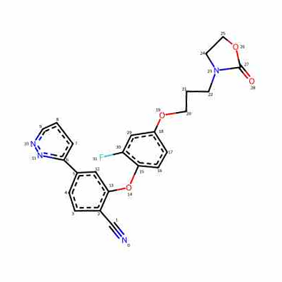 N#Cc1ccc(-c2cccnn2)cc1Oc1ccc(OCCCN2CCOC2=O)cc1F